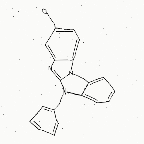 Clc1ccc2c(c1)nc1n(-c3ccccc3)c3ccccc3n21